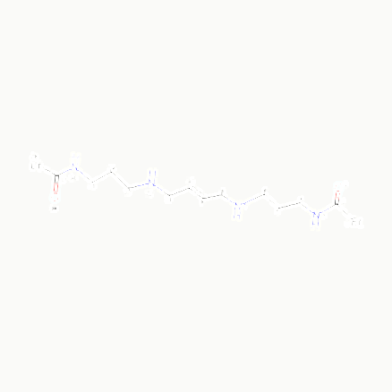 CCC(=O)NCCCNC/C=C/CNCCCNC(=O)CC